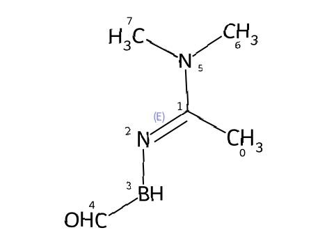 C/C(=N\BC=O)N(C)C